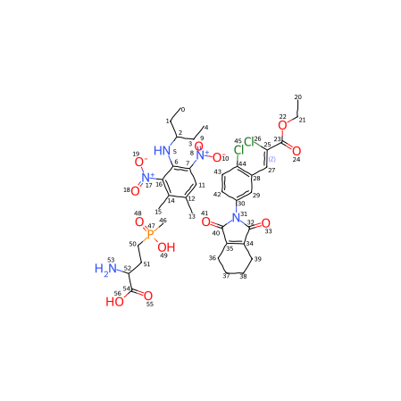 CCC(CC)Nc1c([N+](=O)[O-])cc(C)c(C)c1[N+](=O)[O-].CCOC(=O)/C(Cl)=C/c1cc(N2C(=O)C3=C(CCCC3)C2=O)ccc1Cl.CP(=O)(O)CCC(N)C(=O)O